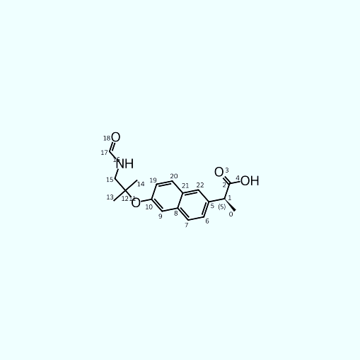 C[C@H](C(=O)O)c1ccc2cc(OC(C)(C)CNC=O)ccc2c1